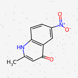 Cc1cc(=O)c2cc([N+](=O)[O-])ccc2[nH]1